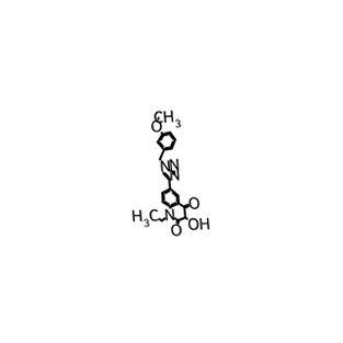 CCN1C(=O)C(O)C(=O)c2cc(-c3cn(Cc4cccc(OC)c4)nn3)ccc21